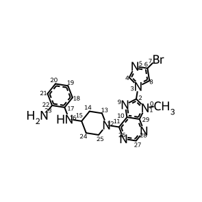 Cn1c(-n2cnc(Br)c2)nc2c(N3CCC(Nc4ccccc4N)CC3)ncnc21